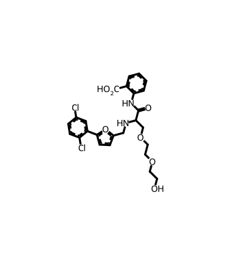 O=C(O)c1ccccc1NC(=O)C(COCCOCCO)NCc1ccc(-c2cc(Cl)ccc2Cl)o1